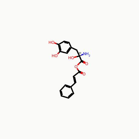 N[C@@](O)(Cc1ccc(O)c(O)c1)C(=O)OC(=O)C=Cc1ccccc1